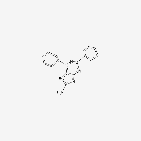 Nc1nc2nc(-c3ccccc3)nc(-c3ccccc3)c2[nH]1